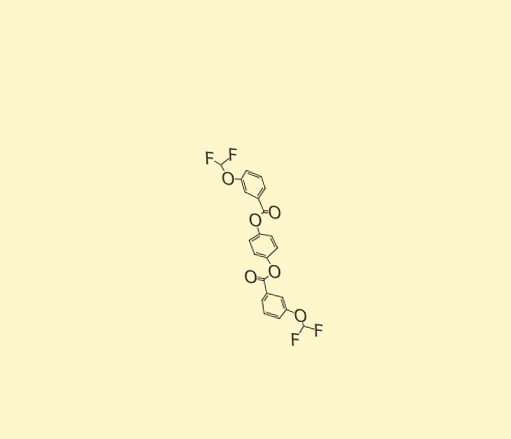 O=C(Oc1ccc(OC(=O)c2cccc(OC(F)F)c2)cc1)c1cccc(OC(F)F)c1